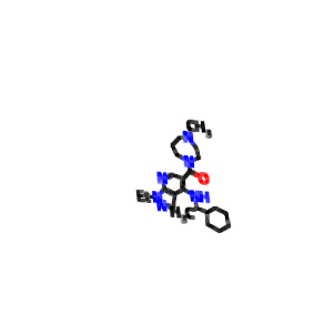 CCn1ncc2c(NC(C)C3CCCCC3)c(C(=O)N3CCCN(C)CC3)cnc21